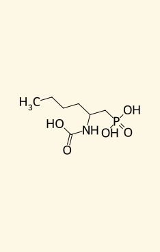 CCCCC(CP(=O)(O)O)NC(=O)O